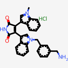 Cl.Cn1cc(C2=C(c3cn(Cc4cccc(CN)c4)c4ccccc34)C(=O)NC2=O)c2ccccc21